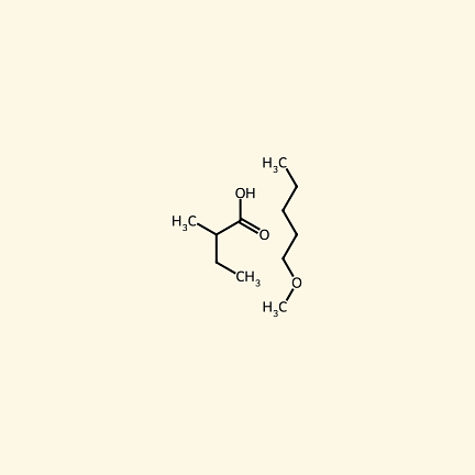 CCC(C)C(=O)O.CCCCCOC